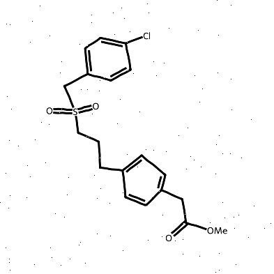 COC(=O)Cc1ccc(CCCS(=O)(=O)Cc2ccc(Cl)cc2)cc1